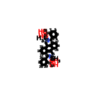 CN(Cc1ccccc1B(O)O)Cc1c2ccccc2c(CN(C)Cc2ccccc2B(O)O)c2ccccc12